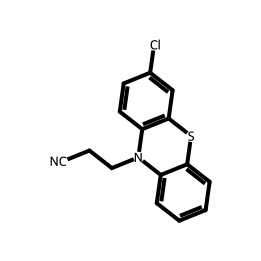 N#CCCN1c2ccccc2Sc2cc(Cl)ccc21